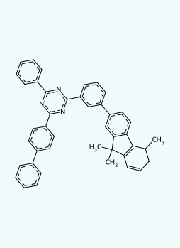 CC1CC=CC2=C1c1ccc(-c3cccc(-c4nc(-c5ccccc5)nc(-c5ccc(-c6ccccc6)cc5)n4)c3)cc1C2(C)C